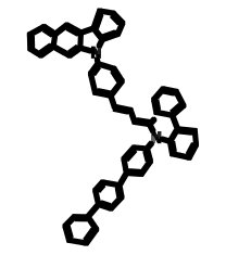 C/C(=C\C=C\c1ccc(-n2c3ccccc3c3cc4ccccc4cc32)cc1)N(c1ccc(-c2ccc(-c3ccccc3)cc2)cc1)c1ccccc1-c1ccccc1